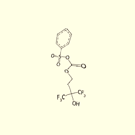 O=C(OCCC(O)(C(F)(F)F)C(F)(F)F)OS(=O)(=O)c1ccccc1